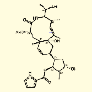 CO[C@H]1C[C@H]2C=CC([C@H]3C[C@H](O)[C@@H](C)[C@H]3OC(=O)c3ccc[nH]3)C[C@]2(O)/C(C)=C/[C@@H](C)C([C@@H](C)O)NC1=O